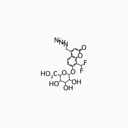 [N-]=[N+]=NCc1cc(=O)oc2c(C(F)F)c(OC3OC(C(=O)O)C(O)C(O)C3O)ccc12